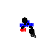 OCCNc1nc(NCCc2ccc(C(F)(F)F)cc2)nc2ccccc12